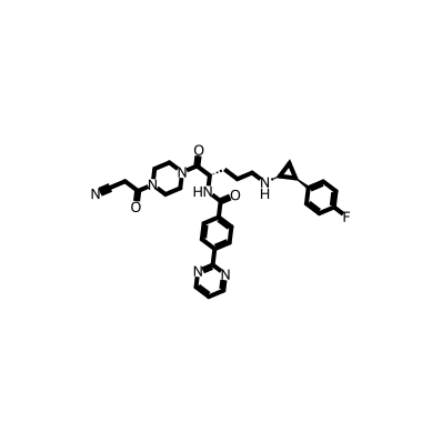 N#CCC(=O)N1CCN(C(=O)[C@H](CCCN[C@@H]2C[C@H]2c2ccc(F)cc2)NC(=O)c2ccc(-c3ncccn3)cc2)CC1